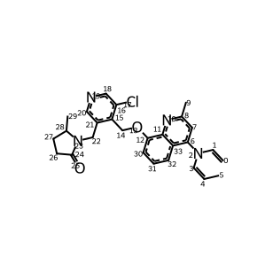 C=CN(/C=C\C)c1cc(C)nc2c(OCc3c(Cl)cncc3CN3C(=O)CCC3C)cccc12